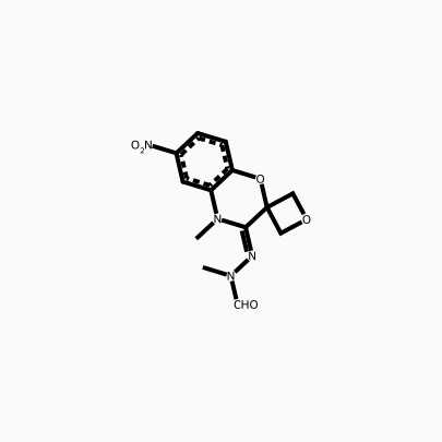 CN(C=O)/N=C1\N(C)c2cc([N+](=O)[O-])ccc2OC12COC2